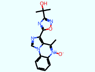 Cc1c2c(-c3nc(C(C)(C)O)no3)ncn2c2ccccc2[n+]1[O-]